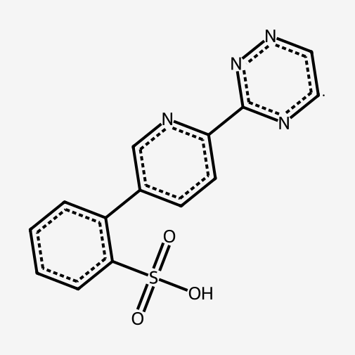 O=S(=O)(O)c1ccccc1-c1ccc(-c2n[c]cnn2)nc1